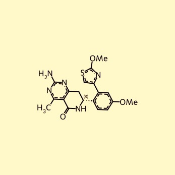 COc1ccc([C@H]2Cc3nc(N)nc(C)c3C(=O)N2)c(-c2csc(OC)n2)c1